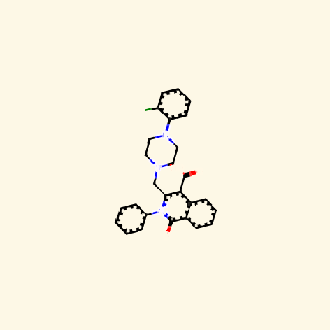 O=C(O)c1c(CN2CCN(c3ccccc3F)CC2)n(-c2ccccc2)c(=O)c2ccccc12